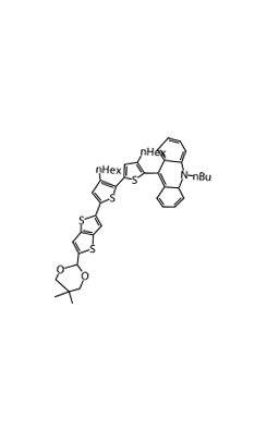 CCCCCCc1cc(-c2sc(-c3cc4sc(C5OCC(C)(C)CO5)cc4s3)cc2CCCCCC)sc1C1=C2C=CC=CC2N(CCCC)c2ccccc21